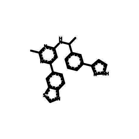 Cc1nc(NC(C)c2cccc(-c3cc[nH]n3)c2)cc(-c2ccc3ncsc3c2)n1